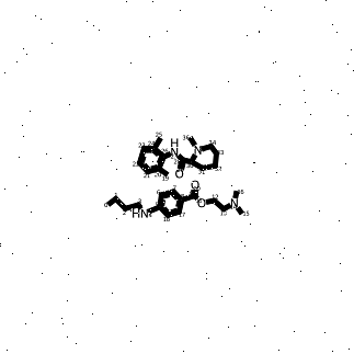 CCCCNc1ccc(C(=O)OCCN(C)C)cc1.Cc1cccc(C)c1NC(=O)C1CCCCN1C